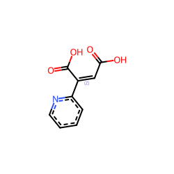 O=C(O)/C=C(\C(=O)O)c1ccccn1